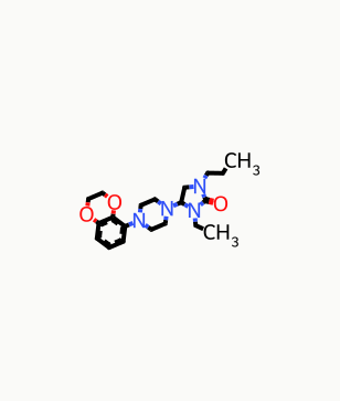 CCCN1CC(N2CCN(c3cccc4c3OCCO4)CC2)N(CC)C1=O